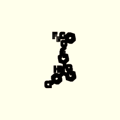 O=C(NC(c1ccc(Cl)cc1)c1ccccn1)C1CCN(CCOc2ccccc2C(F)(F)F)CC1